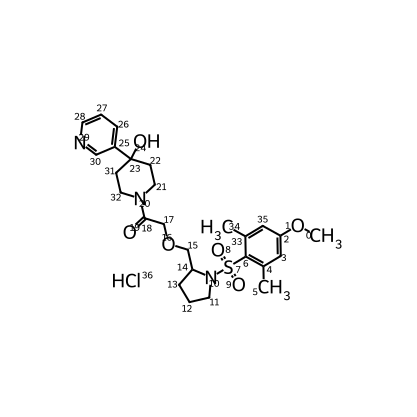 COc1cc(C)c(S(=O)(=O)N2CCCC2COCC(=O)N2CCC(O)(c3cccnc3)CC2)c(C)c1.Cl